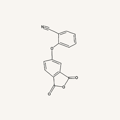 N#Cc1ccccc1Oc1ccc2c(c1)C(=O)OC2=O